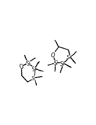 CC1C[Si](C)(C)[Si](C)(C)[Si](C)(C)O1.C[Si]1(C)CCO[Si](C)(C)[Si]1(C)C